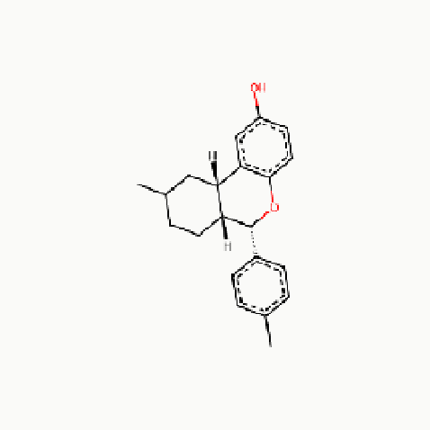 Cc1ccc([C@H]2Oc3ccc(O)cc3[C@H]3CC(C)CC[C@H]32)cc1